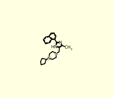 Cc1nc(-c2cccc3ccccc23)[nH]c1CN1CCN(C2CCCC2)CC1